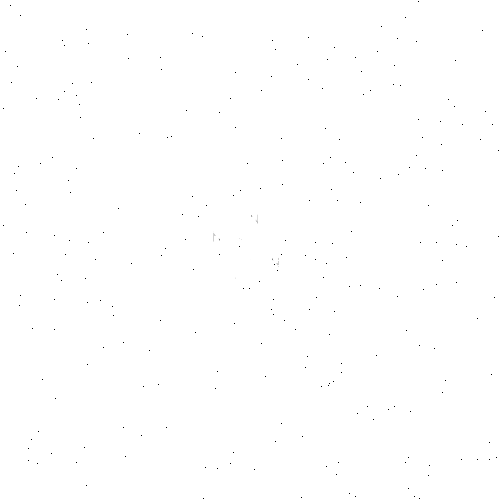 CN(C)C(=N)C(N)=S